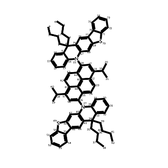 CCCCC1(CCCC)c2ccccc2N(c2cc(C(C)C)c3ccc4c(N5c6ccccc6C(CCCC)(CCCC)c6cc7c(cc65)sc5ccccc57)cc(C(C)C)c5ccc2c3c54)c2cc3sc4ccccc4c3cc21